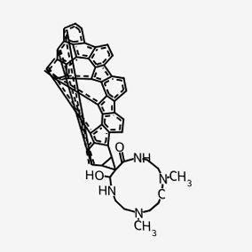 CN1CCCN(C)CCNC(O)C2(C(=O)NCC1)C1c3c4ccc5c6ccc7c8ccc9c%10ccc%11c(c%12c3c3c4c5c4c6c7c5c8c9c6c%10c%11c%12c7c3c4c5c67)C12